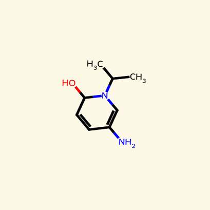 CC(C)N1C=C(N)C=CC1O